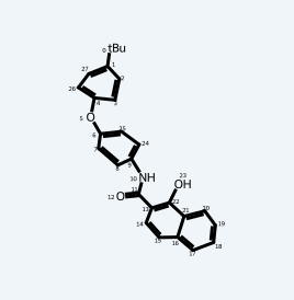 CC(C)(C)c1ccc(Oc2ccc(NC(=O)c3ccc4ccccc4c3O)cc2)cc1